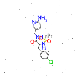 CCCS(=O)(=O)NC(Cc1ccc(Cl)cc1)C(=O)NCc1ccc(N)nc1